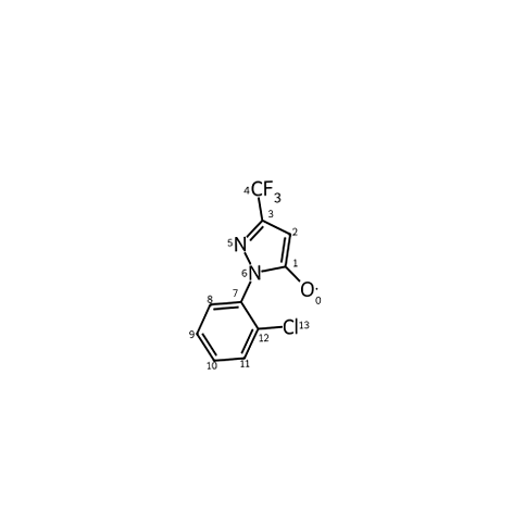 [O]c1cc(C(F)(F)F)nn1-c1ccccc1Cl